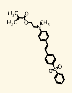 C=C(C)C(=O)OCCN(C)c1ccc(/C=C/c2ccc(S(=O)(=O)c3ccccc3)cc2)cc1